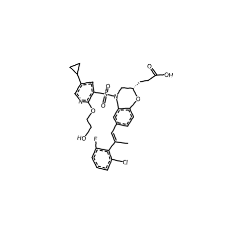 C/C(=C\c1ccc2c(c1)N(S(=O)(=O)c1cc(C3CC3)cnc1OCCO)C[C@H](CCC(=O)O)O2)c1c(F)cccc1Cl